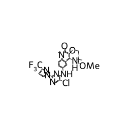 COCC1(C)CCOc2c(c3cc(Nc4nc(-n5ccc(C(F)(F)F)n5)ncc4Cl)ccc3n(C)c2=O)N1